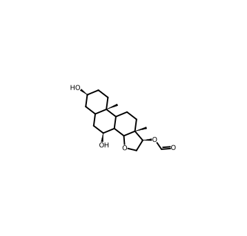 C[C@]12CC[C@H](O)CC1C[C@H](O)C1C2CC[C@@]2(C)C1OC[C@@H]2OC=O